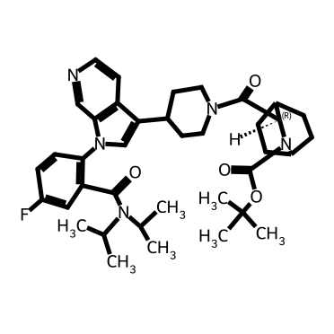 CC(C)N(C(=O)c1cc(F)ccc1-n1cc(C2CCN(C(=O)[C@H]3C4CCC(CC4)N3C(=O)OC(C)(C)C)CC2)c2ccncc21)C(C)C